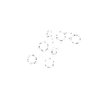 c1ccc(N(c2ccccc2)c2ccc3c(c2)C2(c4ccccc4Sc4c2ccc2oc5ccccc5c42)c2ccccc2-3)cc1